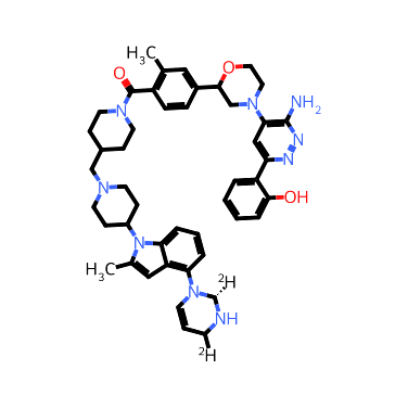 [2H]C1C=CN(c2cccc3c2cc(C)n3C2CCN(CC3CCN(C(=O)c4ccc(C5CN(c6cc(-c7ccccc7O)nnc6N)CCO5)cc4C)CC3)CC2)[C@H]([2H])N1